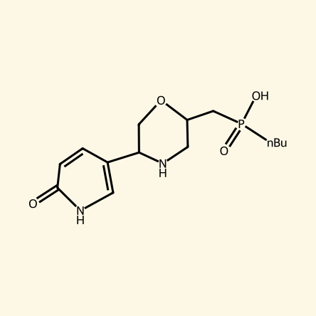 CCCCP(=O)(O)CC1CNC(c2ccc(=O)[nH]c2)CO1